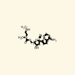 CNCCN(C)C(=O)OC[C@H]1O[C@@](C#N)(c2ccc3c(N)ncnn23)C[C@@H]1O